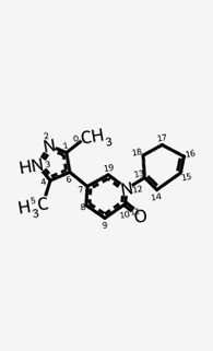 Cc1n[nH]c(C)c1-c1ccc(=O)n(C2=CC=CCC2)c1